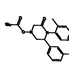 Cc1ccccc1N1C(=O)CN(OC(=O)C(C)(C)C)CC1c1cccc(Br)c1